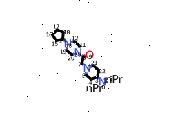 CCCN(CCC)C1CCN(CC(=O)N2CCN(C3CCCC3)CC2)CC1